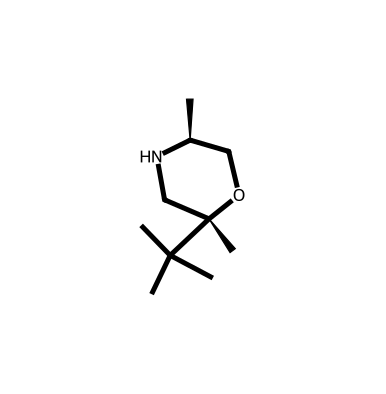 C[C@H]1CO[C@](C)(C(C)(C)C)CN1